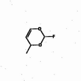 CC1C=COC(F)O1